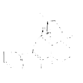 CC1=C(c2ccccn2)O[C@@H]2O[C@]3(C)CC[C@H]4CCC[C@]1(C)[C@]42OO3